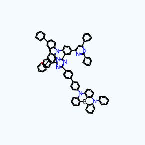 c1ccc(-c2ccc3c(c2)c2cc(-c4ccccc4)ccc2n3-c2ccc(-c3cc(-c4ccccc4)nc(-c4ccccc4)n3)cc2-c2nc(-c3ccccc3)nc(-c3ccc(-c4ccc(N5c6ccccc6B6c7ccccc7N(c7ccccc7)c7cccc5c76)cc4)cc3)n2)cc1